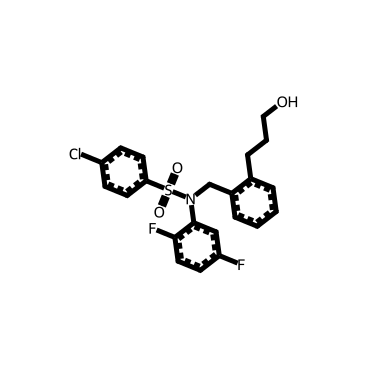 O=S(=O)(c1ccc(Cl)cc1)N(Cc1ccccc1CCCO)c1cc(F)ccc1F